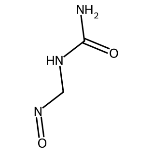 NC(=O)NCN=O